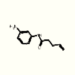 C=CCCC(=O)Nc1cccc(N)c1